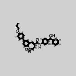 CCCOc1ccc(-c2ccc3c(c2)C=C(C(=O)Nc2ccc(C(O)c4ccccn4)cc2)CCS3(=O)=O)cc1